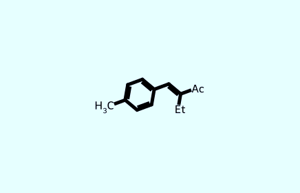 CC/C(=C\c1ccc(C)cc1)C(C)=O